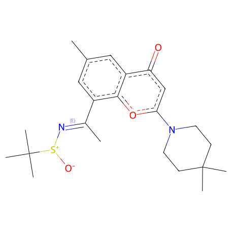 C/C(=N\[S+]([O-])C(C)(C)C)c1cc(C)cc2c(=O)cc(N3CCC(C)(C)CC3)oc12